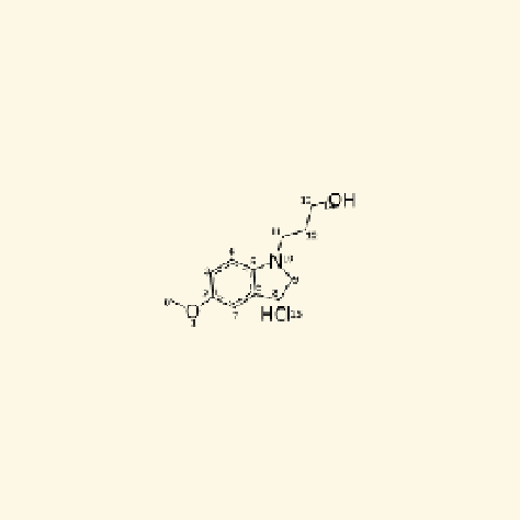 COc1ccc2c(c1)CCN2CCCO.Cl